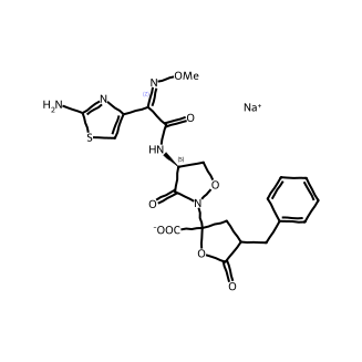 CO/N=C(\C(=O)N[C@H]1CON(C2(C(=O)[O-])CC(Cc3ccccc3)C(=O)O2)C1=O)c1csc(N)n1.[Na+]